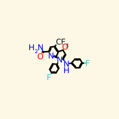 NC(=O)c1cc(C(F)(F)F)c2c(=O)cc(Nc3ccc(F)cc3)n(-c3ccc(F)cc3)c2n1